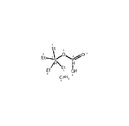 CC[SH](CC)(CC)(CC)O[PH](=O)O.[CaH2]